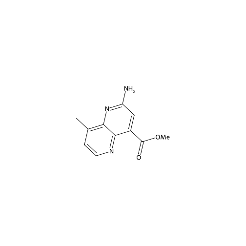 COC(=O)c1cc(N)nc2c(C)ccnc12